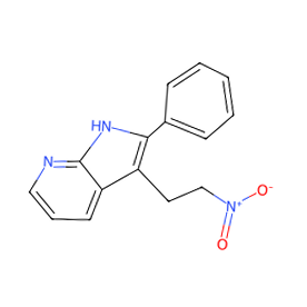 O=[N+]([O-])CCc1c(-c2ccccc2)[nH]c2ncccc12